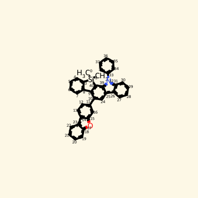 C[Si]1(C)c2ccccc2-c2c(-c3ccc4c(c3)oc3ccccc34)cc3c4ccccc4n(-c4ccccc4)c3c21